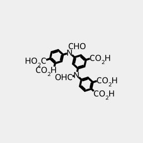 O=CN(c1cc(C(=O)O)cc(N(C=O)c2ccc(C(=O)O)c(C(=O)O)c2)c1)c1ccc(C(=O)O)c(C(=O)O)c1